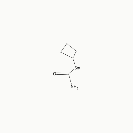 N[C](=O)[Sn][CH]1CCC1